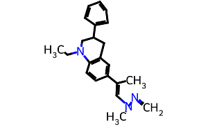 C=NN(C)/C=C(\C)c1ccc2c(c1)CC(c1ccccc1)CN2CC